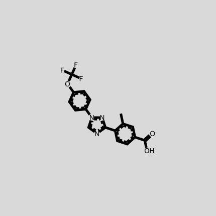 Cc1cc(C(=O)O)ccc1-c1ncn(-c2ccc(OC(F)(F)F)cc2)n1